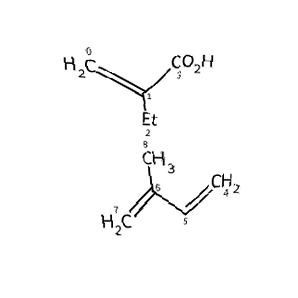 C=C(CC)C(=O)O.C=CC(=C)C